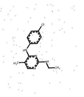 CCNc1ncc(C)c(Nc2ccc(Cl)cc2)n1